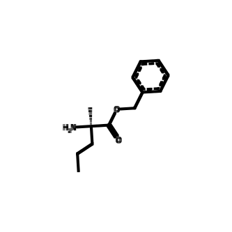 CCC[C@@](C)(N)C(=O)OCc1ccccc1